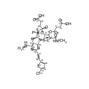 CNC(=O)C12C(OC(=O)CCC(=O)O)C(OC(=O)CCC(=O)O)C3(n4c(C(F)(F)F)nc5c(NC)nc(C#Cc6ccc(Cl)s6)nc54)C1C23